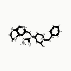 CC1CC(N(Cc2cc3c(cn2)OCCO3)C(=O)OC(C)(C)C)CCN1Cc1ccccc1